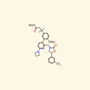 COC(=O)CC(C)(C)c1ccc(OC)c(-c2ccc(N3CCC3)nc2CN2C(=O)OC(c3cccc(C(F)(F)F)c3)[C@@H]2C)c1